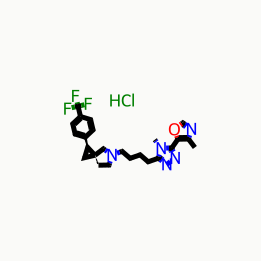 Cc1ncoc1-c1nnc(CCCCN2CC[C@@]3(C[C@H]3c3ccc(C(F)(F)F)cc3)C2)n1C.Cl